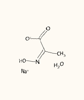 CC(=NO)C(=O)[O-].O.[Na+]